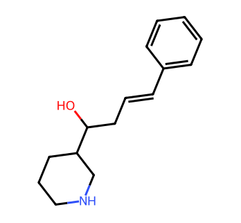 OC(CC=Cc1ccccc1)C1CCCNC1